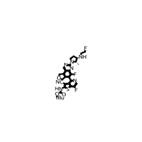 C[C@H]1[C@@H](NCCF)CCN1c1ncc2c3c(c(-c4ncc(F)c5sc(NC(=O)OC(C)(C)C)c(C#N)c45)c(F)c2n1)COC3